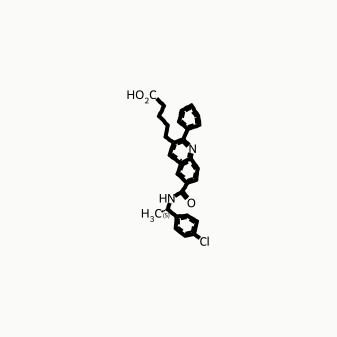 C[C@H](NC(=O)c1ccc2nc(-c3ccccc3)c(CCCCC(=O)O)cc2c1)c1ccc(Cl)cc1